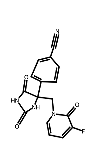 N#Cc1ccc(C2(Cn3cccc(F)c3=O)NC(=O)NC2=O)cc1